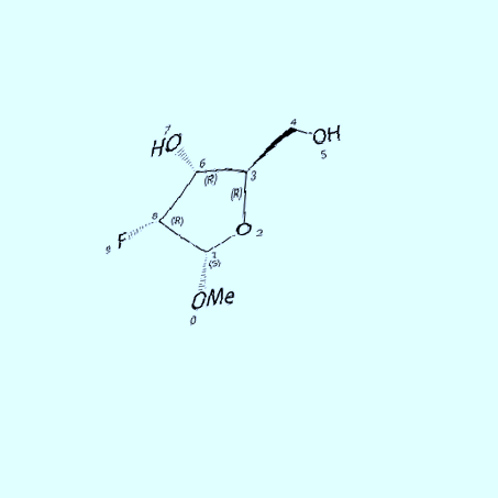 CO[C@H]1O[C@H](CO)[C@@H](O)[C@H]1F